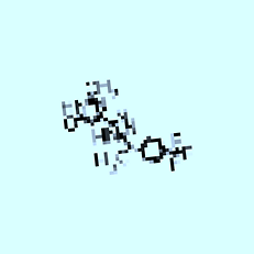 Cc1nc(-c2nnc(C(C)C3C=CC(C(F)(F)F)=CC3)[nH]2)cc(=O)[nH]1